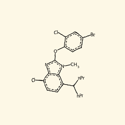 CCCC(CCC)c1ccc(Cl)c2nc(Oc3ccc(Br)cc3Cl)n(C)c12